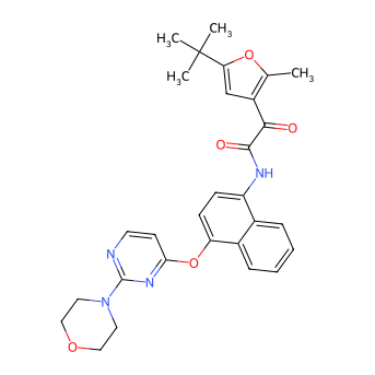 Cc1oc(C(C)(C)C)cc1C(=O)C(=O)Nc1ccc(Oc2ccnc(N3CCOCC3)n2)c2ccccc12